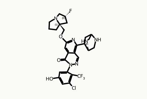 O=c1c2cc(OC[C@@]34CCCN3C[C@H](F)C4)nc(C3CC4CNCC3CN4)c2cnn1-c1cc(O)cc(Cl)c1C(F)(F)F